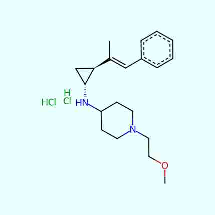 COCCN1CCC(N[C@@H]2C[C@H]2C(C)=Cc2ccccc2)CC1.Cl.Cl